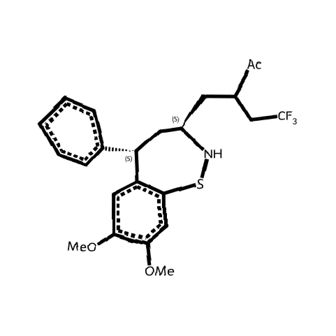 COc1cc2c(cc1OC)[C@H](c1ccccc1)C[C@@H](CC(CC(F)(F)F)C(C)=O)NS2